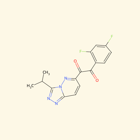 CC(C)c1nnc2ccc(C(=O)C(=O)c3ccc(F)cc3F)nn12